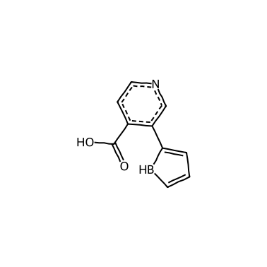 O=C(O)c1ccncc1C1=CC=CB1